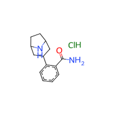 Cl.NC(=O)c1ccccc1C1CC2CCC(C1)N2